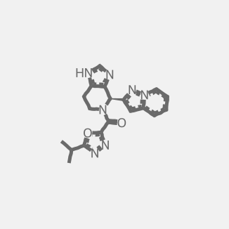 CC(C)c1nnc(C(=O)N2CCc3[nH]cnc3[C@H]2c2cc3ccccn3n2)o1